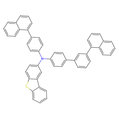 c1cc(-c2ccc(N(c3ccc(-c4cccc5ccccc45)cc3)c3ccc4sc5ccccc5c4c3)cc2)cc(-c2cccc3ccccc23)c1